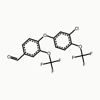 O=Cc1ccc(Oc2ccc(OC(F)(F)F)c(Cl)c2)c(OC(F)(F)F)c1